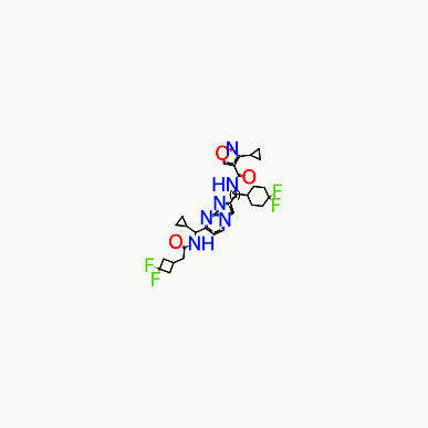 O=C(CC1CC(F)(F)C1)NC(c1ccn2cc([C@@H](NC(=O)c3conc3C3CC3)C3CCC(F)(F)CC3)nc2n1)C1CC1